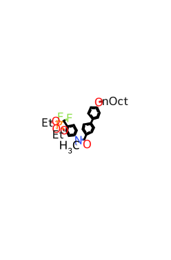 CCCCCCCCOc1ccc(-c2ccc(C(=O)N(C)c3ccc(C(F)(F)P(=O)(OCC)OCC)cc3)cc2)cc1